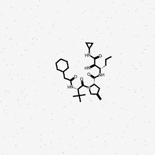 C=C1C[C@@H](C(=O)N[C@@H](CCC)C(=N)C(=O)NC2CC2)N(C(=O)[C@@H](NC(=O)CC2CCCCC2)C(C)(C)C)C1